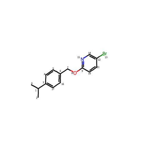 CC(C)c1ccc(COc2ccc(Br)cn2)cc1